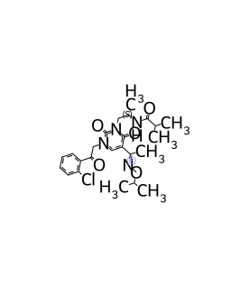 C/C(=N\OC(C)C)c1cn(CC(=O)c2ccccc2Cl)c(=O)n(C[C@H](C)NC(=O)C(C)C)c1=O